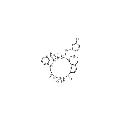 CCCc1cc(Cl)ccc1[C@@H]1COc2ccc3cc2N(C1)C[C@@H]1CC[C@H]1[C@@](O)(c1ncccn1)/C=C/C[C@H](C)[C@@H](C)S(=O)(=O)NC3=O